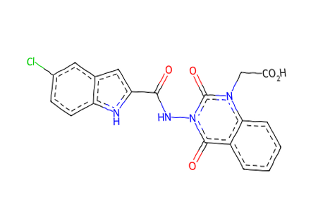 O=C(O)Cn1c(=O)n(NC(=O)c2cc3cc(Cl)ccc3[nH]2)c(=O)c2ccccc21